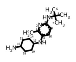 Cc1nc(NC(C)(C)C)ccc1NC1CCC(N)CC1